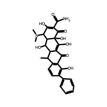 CC1c2ccc(-c3ccccc3)c(O)c2C(=O)C2=C(O)C3(O)C(=O)C(C(N)=O)=C(O)C(N(C)C)C3C(O)C21